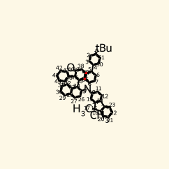 CC(C)(C)c1ccc(-c2ccc(N(c3ccc4c(c3)C(C)(C)c3ccccc3-4)c3ccc4ccccc4c3-c3cccc4oc5ccccc5c34)cc2)cc1